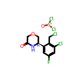 O=C1COC[C@@H](c2cc(F)cc(Cl)c2CCl)N1.[O-][S+](Cl)Cl